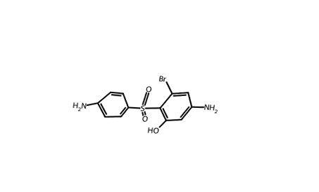 Nc1ccc(S(=O)(=O)c2c(O)cc(N)cc2Br)cc1